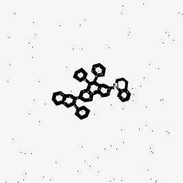 c1ccc(-c2cc3ccccc3cc2-c2ccc3c(c2)c(-c2ccccc2)c(-c2ccccc2)c2cc(N4CCCc5ccccc54)ccc23)cc1